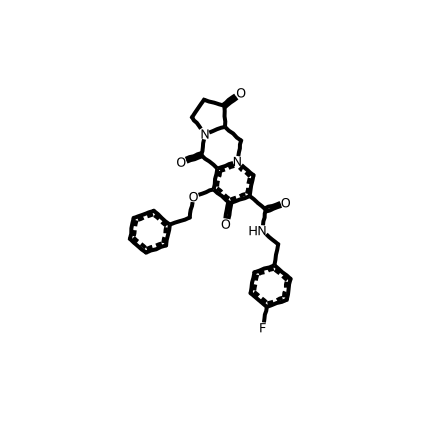 O=C(NCc1ccc(F)cc1)c1cn2c(c(OCc3ccccc3)c1=O)C(=O)N1CCC(=O)C1C2